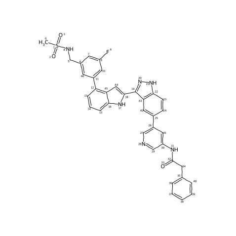 CS(=O)(=O)NCc1cc(F)cc(-c2cccc3[nH]c(-c4n[nH]c5ccc(-c6cncc(NC(=O)Cc7ccccc7)c6)cc45)cc23)c1